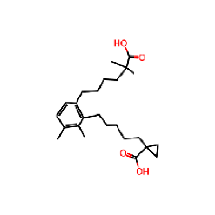 Cc1ccc(CCCCC(C)(C)C(=O)O)c(CCCCCC2(C(=O)O)CC2)c1C